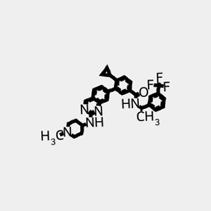 C[C@@H](NC(=O)c1ccc(C2CC2)c(-c2ccc3cnc(NC4CCN(C)CC4)nc3c2)c1)c1cccc(C(F)(F)F)c1